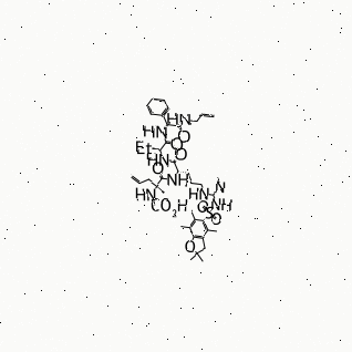 C=CCNC(=O)[C@H](NC(=O)[C@H](CC)NC(=O)[C@H](CCCN/C(=N\C)NS(=O)(=O)c1c(C)c(C)c2c(c1C)CC(C)(C)O2)NC(=O)[C@@](C)(CC=C)NC(=O)O)c1ccccc1